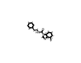 O=C(NCCc1ccccc1)n1cnc2c(F)cccc21